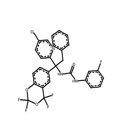 O=C(Nc1cccc(F)c1)NC(Cc1ccccc1)(c1ccc2c(c1)C(F)(F)OC(F)(F)O2)c1ccc(Cl)cn1